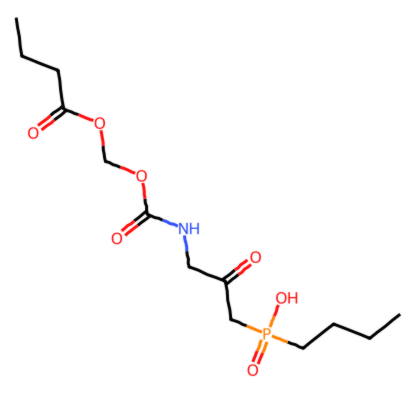 CCCCP(=O)(O)CC(=O)CNC(=O)OCOC(=O)CCC